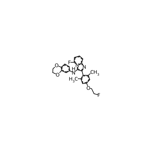 Cc1cc(OCCF)cc(C)c1-c1nc2cccc(F)n2c1Nc1ccc2c(c1)OCCO2